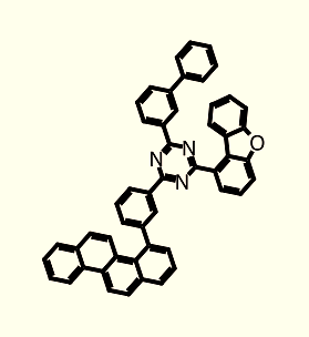 c1ccc(-c2cccc(-c3nc(-c4cccc(-c5cccc6ccc7c8ccccc8ccc7c56)c4)nc(-c4cccc5oc6ccccc6c45)n3)c2)cc1